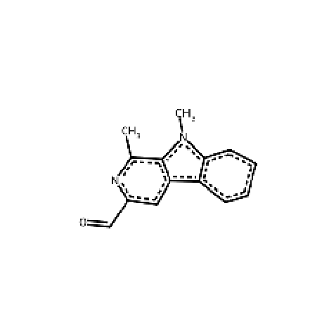 Cc1nc(C=O)cc2c3ccccc3n(C)c12